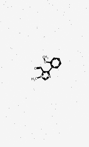 COc1ccccc1-c1ncn(C)c1C=O